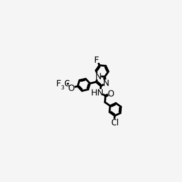 O=C(Cc1cccc(Cl)c1)Nc1nc2ccc(F)cn2c1-c1ccc(OC(F)(F)F)cc1